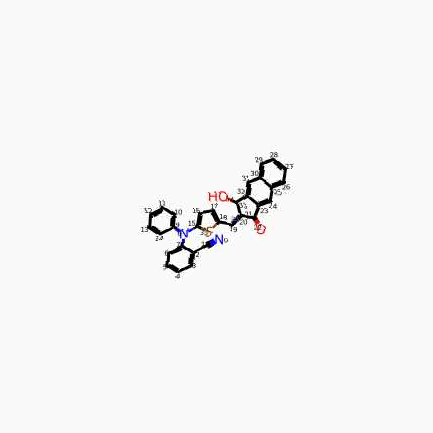 N#Cc1ccccc1N(c1ccccc1)c1ccc(/C=C2/C(=O)c3cc4ccccc4cc3C2O)s1